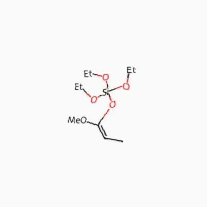 C/C=C(/OC)O[Si](OCC)(OCC)OCC